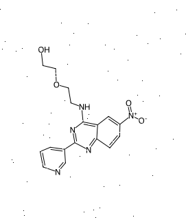 O=[N+]([O-])c1ccc2nc(-c3cccnc3)nc(NCCOCCO)c2c1